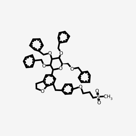 CS(=O)(=O)CCCOc1ccc(Cc2cc(C3O[C@H](COCc4ccccc4)C(OCc4ccccc4)C(OCc4ccccc4)C3OCc3ccccc3)cc3c2OCC3)cc1